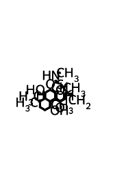 C=C[C@@]1(C)CC(=O)[C@]2(O)[C@@]3(C)[C@@H](O)CCC(C)(C)[C@@H]3[C@H](O)[C@H](OC(=S)NC)[C@@]2(C)O1